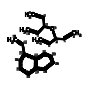 C=CC(C=C)OC(C=C)C=C.C=Cc1cccc2ccccc12